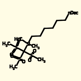 CCCCCCCCCCCCCCCC[Si](C)(C)C(S(C)(=O)=O)(S(C)(=O)=O)S(C)(=O)=O